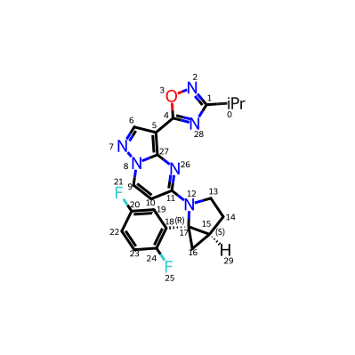 CC(C)c1noc(-c2cnn3ccc(N4CC[C@H]5C[C@]54c4cc(F)ccc4F)nc23)n1